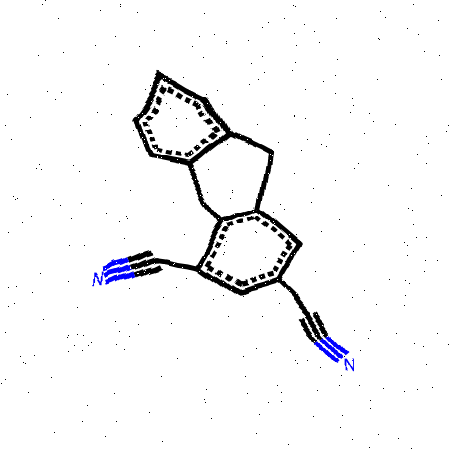 N#Cc1cc(C#N)c2c(c1)Cc1ccccc1-2